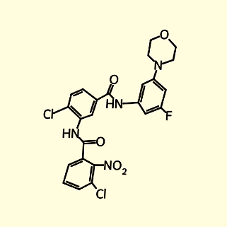 O=C(Nc1cc(F)cc(N2CCOCC2)c1)c1ccc(Cl)c(NC(=O)c2cccc(Cl)c2[N+](=O)[O-])c1